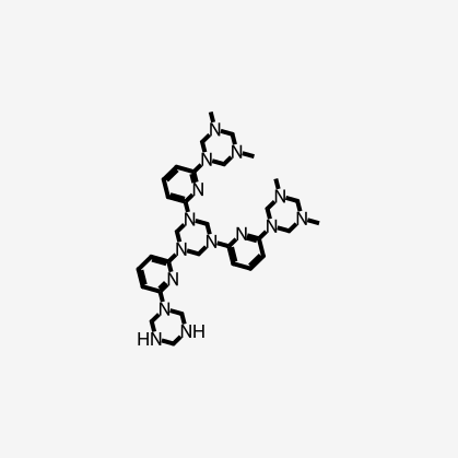 CN1CN(C)CN(c2cccc(N3CN(c4cccc(N5CNCNC5)n4)CN(c4cccc(N5CN(C)CN(C)C5)n4)C3)n2)C1